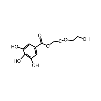 O=C(OCCOCCO)c1cc(O)c(O)c(O)c1